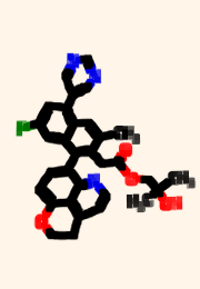 Cc1cc2c(-c3cncnc3)cc(F)cc2c(-c2ccc3c4c(ccnc24)CCO3)c1CC(=O)OCC(C)(C)O